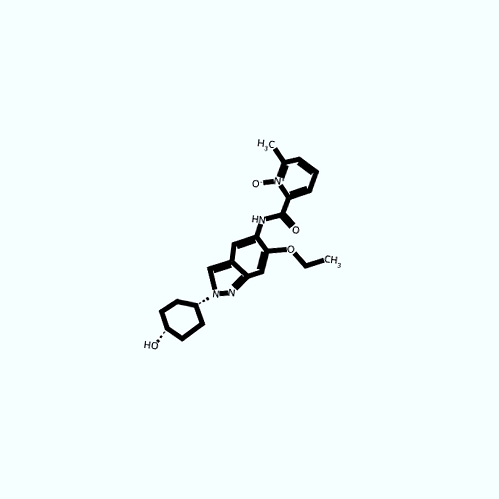 CCOc1cc2nn([C@H]3CC[C@@H](O)CC3)cc2cc1NC(=O)c1cccc(C)[n+]1[O-]